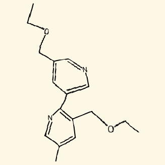 CCOCc1cncc(-c2ncc(C)cc2COCC)c1